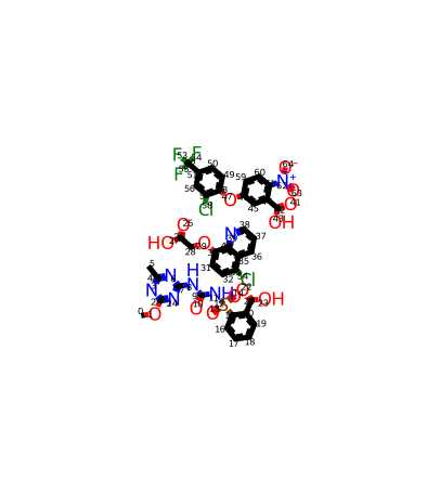 COc1nc(C)nc(NC(=O)NS(=O)(=O)c2ccccc2C(=O)O)n1.O=C(O)COc1ccc(Cl)c2cccnc12.O=C(O)c1cc(Oc2ccc(C(F)(F)F)cc2Cl)ccc1[N+](=O)[O-]